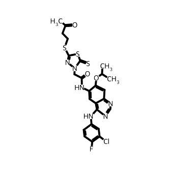 CC(=O)CCSc1nn(CC(=O)Nc2cc3c(Nc4ccc(F)c(Cl)c4)ncnc3cc2OC(C)C)c(=S)s1